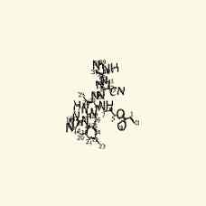 C=CC(=O)OCCCNc1nc(N(c2cnc[nH]2)c2c(C)cc(C)cc2C)nc(C)c1N=Nc1nn(-c2cnc[nH]2)cc1C#N